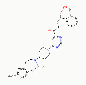 CCc1ccccc1C(CO)CCC(=O)c1cc(N2CCC(N3CCc4cc(OC)ccc4NC3=O)CC2)ncn1